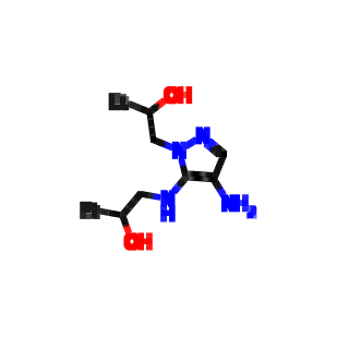 CCC(O)CNc1c(N)cnn1CC(O)CC